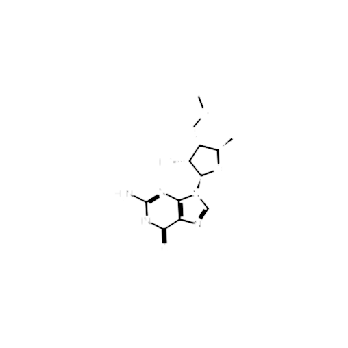 COC[C@H]1[C@@H](O)[C@H](n2cnc3c(=O)[nH]c(N)nc32)O[C@@H]1C